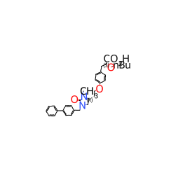 CCCCO[C@@H](Cc1ccc(OCC[C@@H]2CN(Cc3ccc(-c4ccccc4)cc3)C(=O)N2C)cc1)C(=O)O